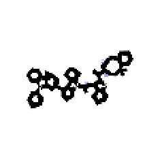 C=C(C1=C/CC(C)(C)c2ccccc2C/C=C\1)c1sc2ccccc2c1/C=C(\C)n1c2ccccc2c2c(C3=CC4CC45C(=C3)N(c3ccccc3)C3=C5C=CCC3)cccc21